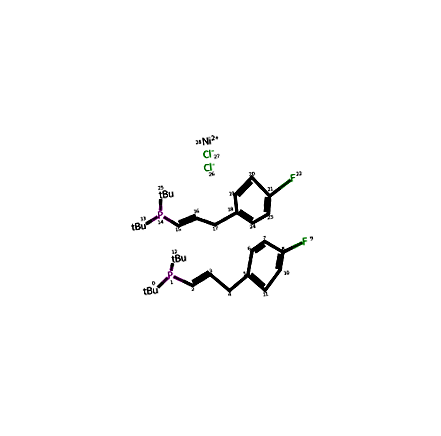 CC(C)(C)P(C=CCc1ccc(F)cc1)C(C)(C)C.CC(C)(C)P(C=CCc1ccc(F)cc1)C(C)(C)C.[Cl-].[Cl-].[Ni+2]